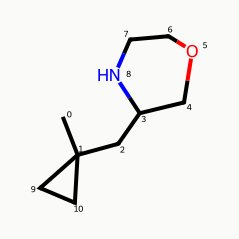 CC1(CC2COCCN2)CC1